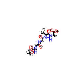 CC(NC(=O)C(NC(=O)CNC(=O)CNC(=O)OC(C)(C)C)C(C)C)C(=O)O